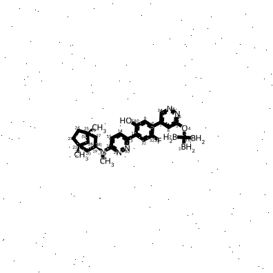 BC(B)(B)Oc1cc(-c2cc(O)c(-c3ccc(N(C)[C@H]4C[C@]5(C)CC[C@](C)(C4)C5)nn3)cc2F)cnn1